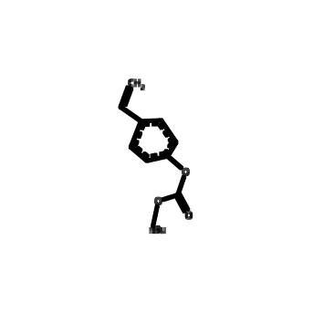 C=Cc1ccc(OC(=O)OCCCC)cc1